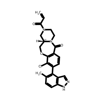 C=CC(=O)N1CCN2C(=O)c3ccc(-c4c(C)ccc5[nH]ncc45)c(Cl)c3OC[C@@H]2C1